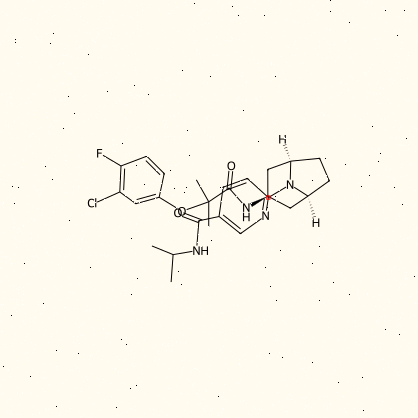 CC(C)NC(=O)c1ccc(N2[C@@H]3CC[C@H]2C[C@@H](NC(=O)C(C)(C)Oc2ccc(F)c(Cl)c2)C3)nc1